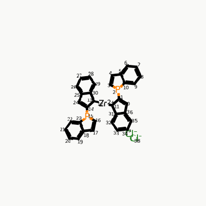 C1=C(p2ccc3ccccc32)[CH]([Zr+2][CH]2C(p3ccc4ccccc43)=Cc3ccccc32)c2ccccc21.[Cl-].[Cl-]